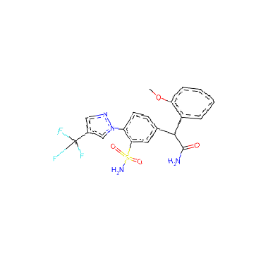 COc1ccccc1C(C(N)=O)c1ccc(-n2cc(C(F)(F)F)cn2)c(S(N)(=O)=O)c1